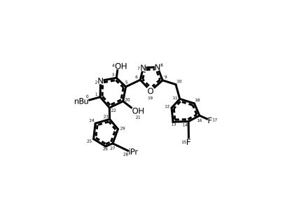 CCCCc1nc(O)c(-c2nnc(Cc3ccc(F)c(F)c3)o2)c(O)c1-c1cccc(C(C)C)c1